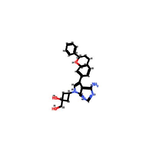 Nc1ncnc2c1c(-c1ccc3c(c1)O[C@@H](c1ccccc1)CC3)cn2C1CC(O)(CO)C1